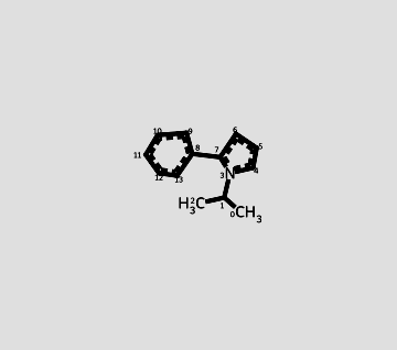 CC(C)n1cccc1-c1ccccc1